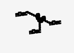 CCCCCCCCCC/C=C\CCCCCCCCCC(=O)OC[C@@H](COC(=O)CCCCCCCCCCCCCCCCC)OC(=O)CCCCCCCCCCCCCCCCCC